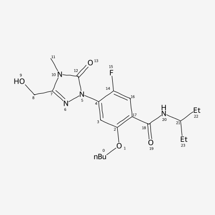 CCCCOc1cc(-n2nc(CO)n(C)c2=O)c(F)cc1C(=O)NC(CC)CC